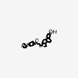 C[C@H](CCC(=O)N1CCN(c2ccncc2)CC1)[C@H]1CCC2C3CCC4C[C@H](O)CC[C@]4(C)C3CC[C@@]21C